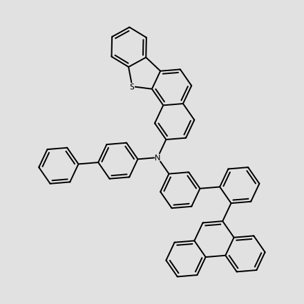 c1ccc(-c2ccc(N(c3cccc(-c4ccccc4-c4cc5ccccc5c5ccccc45)c3)c3ccc4ccc5c6ccccc6sc5c4c3)cc2)cc1